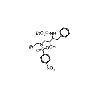 CCOC(=O)N[C@@H](Cc1ccccc1)[C@H](O)CN(CC(C)C)S(=O)(=O)c1ccc([N+](=O)[O-])cc1